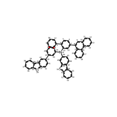 c1ccc(-c2ccc(-c3cc4ccccc4c4ccccc34)cc2N(c2cccc(-c3ccc4oc5ccccc5c4c3)c2)c2ccc3c(c2)sc2ccccc23)cc1